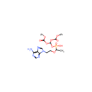 CC(C)OC(=O)OC(OC(=O)OC(C)C)OP(=O)(O)C(C)OCCn1cnc2c(N)ncnc21